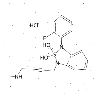 CNCC#CCN1c2ccccc2N(c2ccccc2F)S1(O)O.Cl